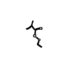 CCOOC(=O)C(C)C